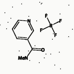 CNC(=O)c1cccnc1.F[B-](F)(F)F